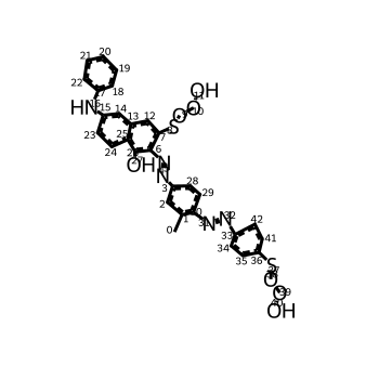 Cc1cc(N=Nc2c(SOOO)cc3cc(Nc4ccccc4)ccc3c2O)ccc1N=Nc1ccc(SOOO)cc1